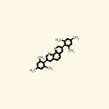 Cc1cc(C)c(-c2cnc3c(ccc4cc(-c5c(C)cc(C)cc5C)cnc43)c2)c(C)c1